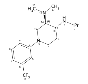 CC(C)N[C@@H]1CCN(c2cccc(C(F)(F)F)c2)C[C@H]1N(C)C